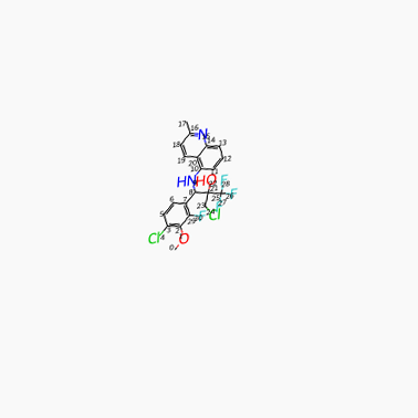 COc1c(Cl)ccc(C(Nc2cccc3nc(C)ccc23)C(O)(CCl)C(F)(F)F)c1F